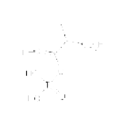 CC(C(=O)O)C(=O)OP(=O)(O)O.[LiH]